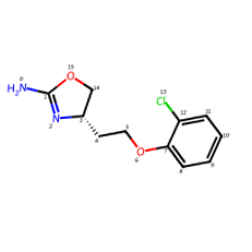 NC1=N[C@@H](CCOc2ccccc2Cl)CO1